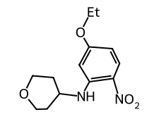 CCOc1ccc([N+](=O)[O-])c(NC2CCOCC2)c1